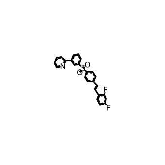 O=S(=O)(c1ccc(C=Cc2ccc(F)cc2F)cc1)c1cccc(-c2ccccn2)c1